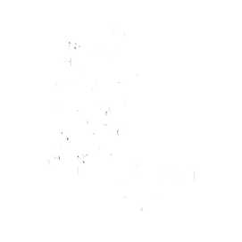 COc1cccc(CCC2=C(C(=O)OCc3ccc(F)c(C#N)c3)C(c3ccc(F)cc3)NC(=O)N2)c1